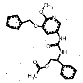 COc1ncc(NC(=O)NC(COC(C)=O)c2ccccc2)cc1OCc1ccccc1